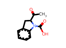 CC(=O)C1Cc2ccccc2N1C(=O)O